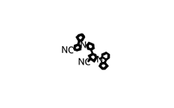 N#Cc1cc(-c2cccc(-n3c4c#cccc4c4cc(C#N)ccc43)c2)cc(N2c3ccccc3C3C=CC=CC32)c1